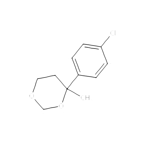 CC1(c2ccc(Cl)cc2)CCOCO1